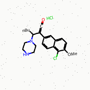 CCCCC(C(=C=O)c1ccc2c(Cl)c(OC)ccc2c1)N1CCNCC1.Cl